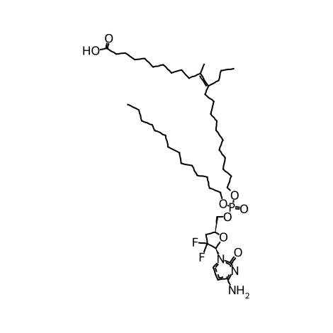 CCCCCCCCCCCCCCOP(=O)(OCCCCCCCCCCC/C(CCC)=C(/C)CCCCCCCCCC(=O)O)OC[C@@H]1CC(F)(F)[C@H](n2ccc(N)nc2=O)O1